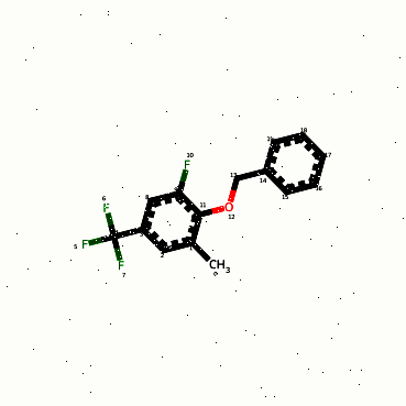 Cc1cc(C(F)(F)F)cc(F)c1OCc1ccccc1